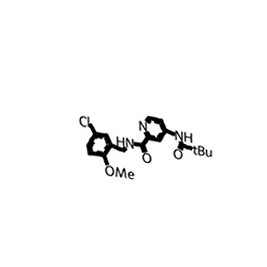 COc1ccc(Cl)cc1CNC(=O)c1cc(NC(=O)C(C)(C)C)ccn1